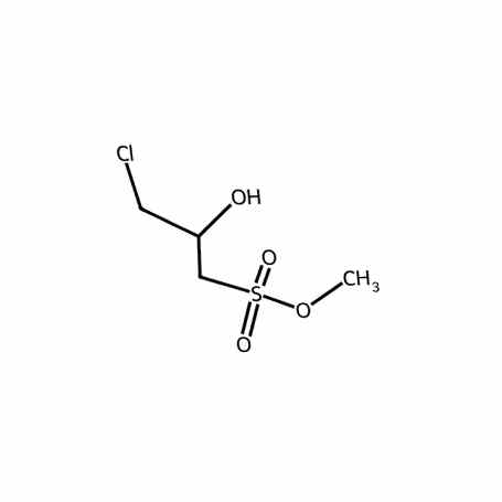 COS(=O)(=O)CC(O)CCl